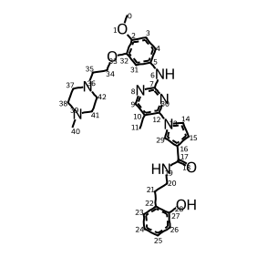 COc1ccc(Nc2ncc(C)c(-n3ccc(C(=O)NCCc4ccccc4O)c3)n2)cc1OCCN1CCN(C)CC1